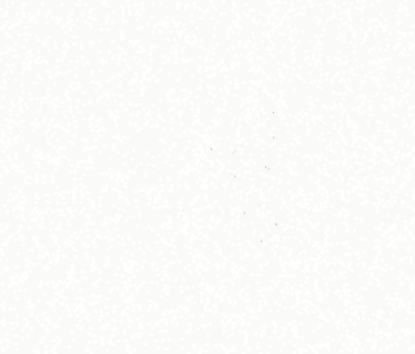 CC(=O)NC[C@@H](Cc1ccccc1)Nc1nc(-c2ccncc2)nc2cnccc12